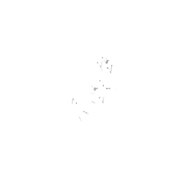 CC1(C)S[C@@H]2C(NC(=O)Cc3sccc3CN)C(=O)N2C1c1nnn[nH]1